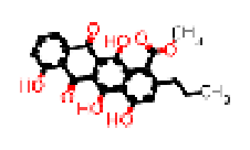 CCCc1cc(O)c2c(O)c3c(c(O)c2c1C(=O)OC)C(=O)c1cccc(O)c1C3=O